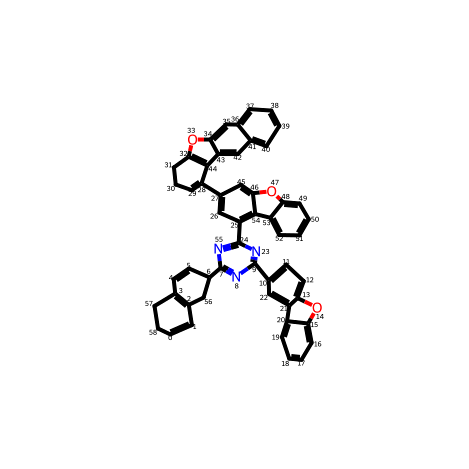 C1=CC2=C(C=CC(c3nc(-c4ccc5oc6ccccc6c5c4)nc(-c4cc(C5=CCCc6oc7cc8ccccc8cc7c65)cc5oc6ccccc6c45)n3)C2)CC1